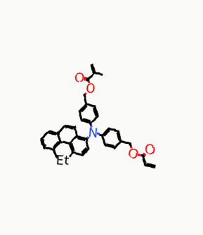 C=CC(=O)OCc1ccc(N(c2ccc(COC(=O)C(=C)C)cc2)c2ccc(CC)c3c2ccc2cccc(C)c23)cc1